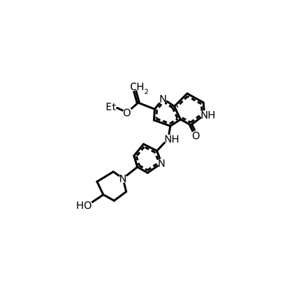 C=C(OCC)c1cc(Nc2ccc(N3CCC(O)CC3)cn2)c2c(=O)[nH]ccc2n1